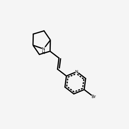 Brc1ccc(C=CC2CC3CCC2N3)nc1